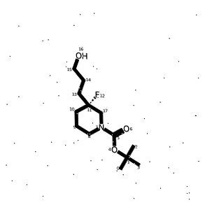 CC(C)(C)OC(=O)N1CCC[C@@](F)(CCCO)C1